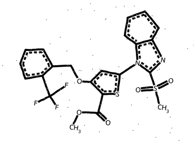 COC(=O)c1sc(-n2c(S(C)(=O)=O)nc3ccccc32)cc1OCc1ccccc1C(F)(F)F